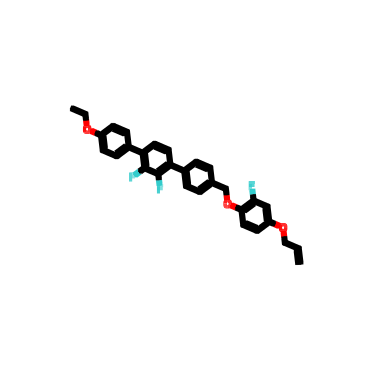 C=CCOc1ccc(OCc2ccc(-c3ccc(-c4ccc(OCC)cc4)c(F)c3F)cc2)c(F)c1